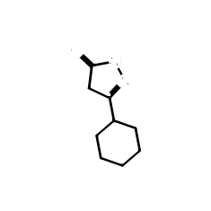 O=C1CC(C2CCCCC2)=NN1